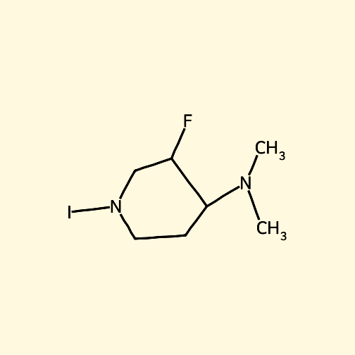 CN(C)C1CCN(I)CC1F